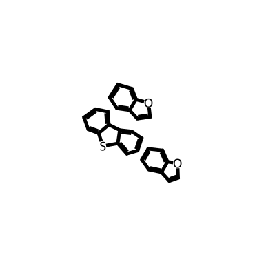 c1ccc2c(c1)sc1ccccc12.c1ccc2occc2c1.c1ccc2occc2c1